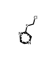 ClCSc1cnccn1